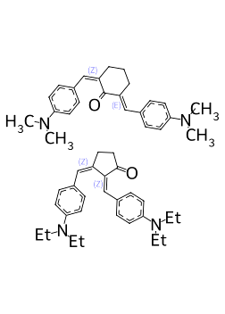 CCN(CC)c1ccc(/C=C2/CCC(=O)/C2=C\c2ccc(N(CC)CC)cc2)cc1.CN(C)c1ccc(/C=C2/CCC/C(=C\c3ccc(N(C)C)cc3)C2=O)cc1